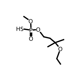 CCOC(C)(C)CCOP(=O)(S)OC